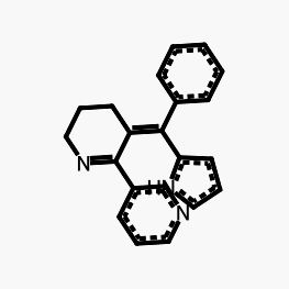 c1ccc(C(=C2CCCN=C2c2cccnc2)c2ccc[nH]2)cc1